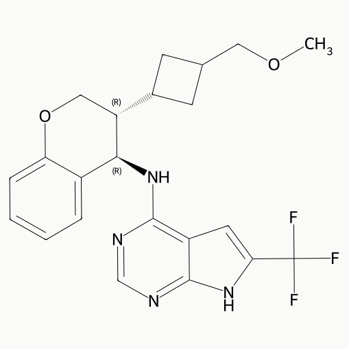 COCC1CC([C@H]2COc3ccccc3[C@@H]2Nc2ncnc3[nH]c(C(F)(F)F)cc23)C1